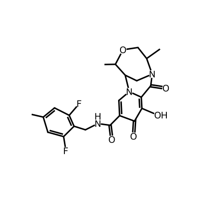 Cc1cc(F)c(CNC(=O)c2cn3c(c(O)c2=O)C(=O)N2CC3C(C)OCC2C)c(F)c1